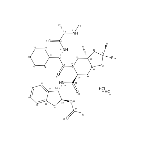 CN[C@@H](C)C(=O)N[C@H](C(=O)N1C[C@H]2CC(F)(F)CN2C[C@H]1C(=O)N[C@H]1c2ccccc2C[C@@H]1OC(C)=O)C1CCCCC1.Cl.Cl